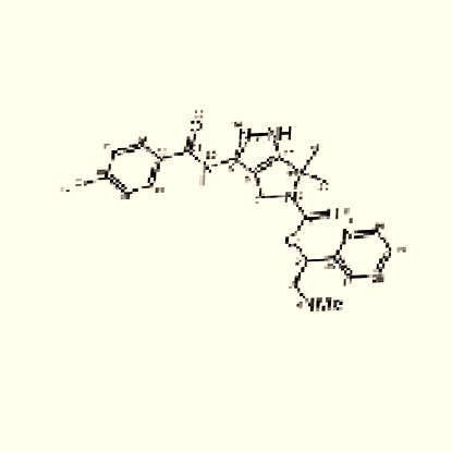 CNC[C@@H](OC(=O)N1Cc2c(NC(=O)c3ccc(F)cc3)n[nH]c2C1(C)C)c1ccccn1